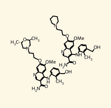 COc1cc2c(Nc3cccc(CO)c3C)c(C(N)=O)cnc2cc1OCCCN1CCCCC1.COc1cc2c(Nc3cccc(CO)c3C)c(C(N)=O)cnc2cc1OCCCN1C[C@H](C)O[C@@H](C)C1